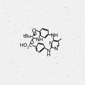 Cc1cnc(Nc2ccc(C(=O)O)cc2)nc1Nc1ccc(Cl)c(NS(=O)(=O)C(C)(C)C)c1